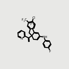 C=C(c1ccccn1)C1(Cc2ccc(Cl)c(C(F)(F)F)c2)CC=C(Nc2ccc(F)cc2)C=C1CCN